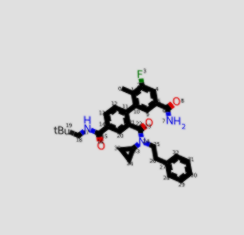 Cc1c(F)cc(C(N)=O)cc1-c1ccc(C(=O)NCC(C)(C)C)cc1C(=O)N(CCc1ccccc1)C1CC1